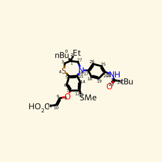 CCCCC1(CC)CSc2cc(O/C=C/C(=O)O)c(SC)cc2N(c2ccc(NC(=O)C(C)(C)C)cc2)C1